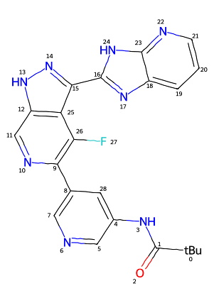 CC(C)(C)C(=O)Nc1cncc(-c2ncc3[nH]nc(-c4nc5cccnc5[nH]4)c3c2F)c1